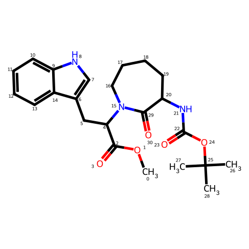 COC(=O)C(Cc1c[nH]c2ccccc12)N1CCCCC(NC(=O)OC(C)(C)C)C1=O